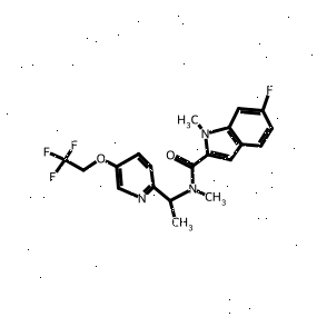 CC(c1ccc(OCC(F)(F)F)cn1)N(C)C(=O)c1cc2ccc(F)cc2n1C